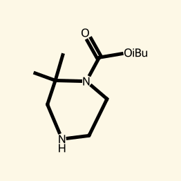 CC(C)COC(=O)N1CCNCC1(C)C